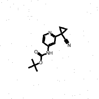 CC(C)(C)OC(=O)Nc1ccnc(C2(C#N)CC2)c1